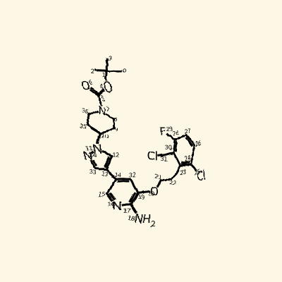 CC(C)(C)OC(=O)N1CCC(n2cc(-c3cnc(N)c(OCCc4c(Cl)ccc(F)c4Cl)c3)cn2)CC1